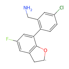 NCc1cc(Cl)ccc1-c1cc(F)cc2c1O[CH]C2